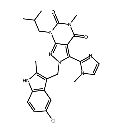 Cc1[nH]c2ccc(Cl)cc2c1Cn1nc2c(c1-c1nccn1C)c(=O)n(C)c(=O)n2CC(C)C